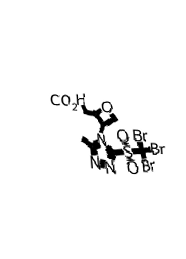 Cc1nnc(S(=O)(=O)C(Br)(Br)Br)n1C1COC1CC(=O)O